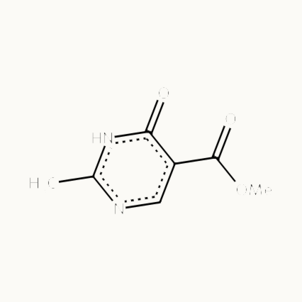 COC(=O)c1cnc(C)[nH]c1=O